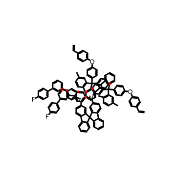 C=Cc1ccc(Oc2ccc(C3(c4cc(C)ccc4C)c4ccccc4-c4ccc(N(c5ccc(-c6cccc(-c7ccc(F)cc7)c6)cc5)c5ccc6c(c5)C5(c7ccccc7-6)c6ccccc6-c6ccc(N(c7ccc(-c8cccc(-c9ccc(F)cc9)c8)cc7)c7ccc8c(c7)C(c7ccc(Oc9ccc(C=C)cc9)cc7)(c7cc(C)ccc7C)c7ccccc7-8)cc65)cc43)cc2)cc1